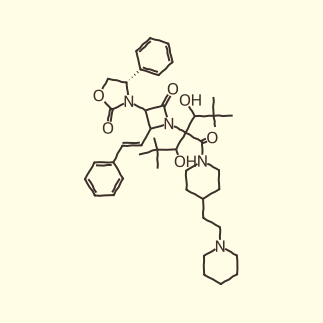 CC(C)(C)C(O)C(C(=O)N1CCC(CCN2CCCCC2)CC1)(C(O)C(C)(C)C)N1C(=O)C(N2C(=O)OC[C@@H]2c2ccccc2)C1C=Cc1ccccc1